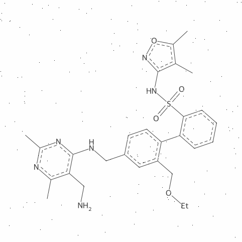 CCOCc1cc(CNc2nc(C)nc(C)c2CN)ccc1-c1ccccc1S(=O)(=O)Nc1noc(C)c1C